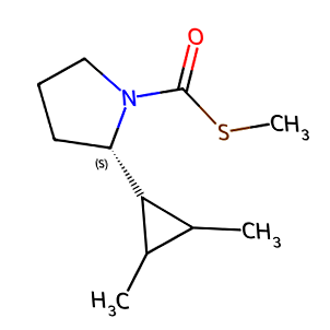 CSC(=O)N1CCC[C@H]1C1C(C)C1C